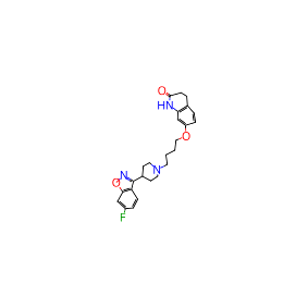 O=C1CCc2ccc(OCCCCN3CCC(c4noc5cc(F)ccc45)CC3)cc2N1